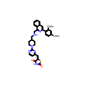 COc1ccc(-c2cc3ccccc3c(CNCC3CCN(c4nccc(/C=C5/SC(=O)NC5=O)n4)CC3)n2)c(OC)c1